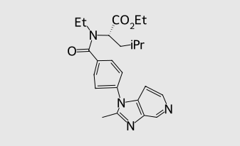 CCOC(=O)[C@H](CC(C)C)N(CC)C(=O)c1ccc(-n2c(C)nc3cnccc32)cc1